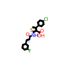 O=C(/C=C/c1cccc(F)c1)Nc1scc(-c2ccc(Cl)cc2)c1C(=O)O